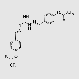 N=C(NN=Cc1ccc(OC(F)C(F)(F)F)cc1)NN=Cc1ccc(OC(F)C(F)(F)F)cc1